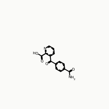 NC(=O)c1ccc(C(=O)c2cccnc2C(=O)O)cc1